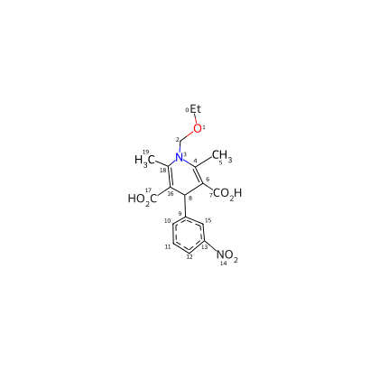 CCOCN1C(C)=C(C(=O)O)C(c2cccc([N+](=O)[O-])c2)C(C(=O)O)=C1C